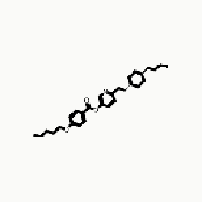 CCCCCOc1ccc(C(=O)Oc2ccc(CC[C@H]3CC[C@H](CCCC)CC3)nc2)cc1